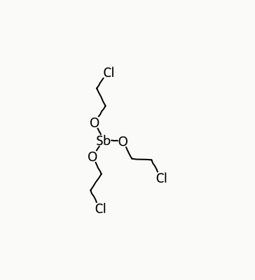 ClCC[O][Sb]([O]CCCl)[O]CCCl